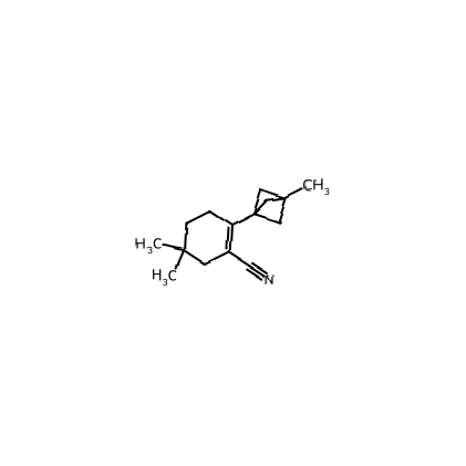 CC1(C)CCC(C23CC(C)(C2)C3)=C(C#N)C1